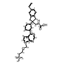 C=Cc1ccc2c(c1)CC(CNC(=O)O)(c1cccc(-c3ncnc4c3ccn4COCC[Si](C)(C)C)c1)C2